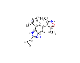 C/C=C(/CC)c1cc(-c2c(C)noc2C)cc2[nH]c(C3CC3)nc12